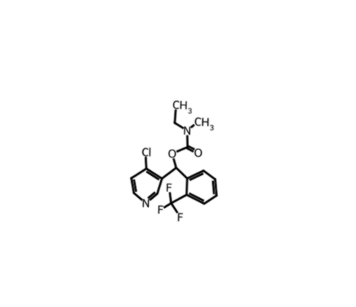 CCN(C)C(=O)OC(c1cnccc1Cl)c1ccccc1C(F)(F)F